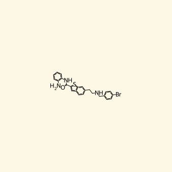 Nc1ccccc1NC(=O)c1cc2ccc(CCNCc3ccc(Br)cc3)cc2s1